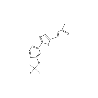 CC(=O)/C=C/c1cnc(-c2cccc(OC(F)(F)F)c2)s1